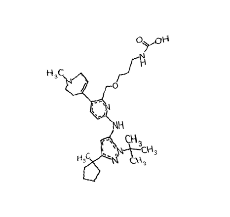 CN1CC=C(c2ccc(Nc3cc(C4(C)CCCC4)nn3C(C)(C)C)nc2COCCCNC(=O)O)CC1